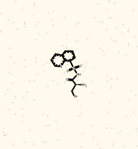 CC(C)C[C@H](N)C(=O)NS(=O)(=O)c1cccc2cccnc12